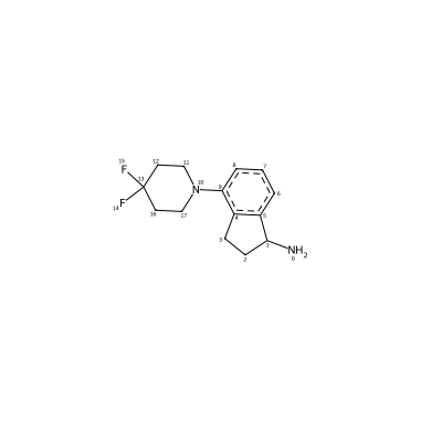 NC1CCc2c1cccc2N1CCC(F)(F)CC1